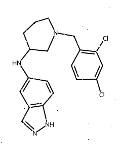 Clc1ccc(CN2CCCC(Nc3ccc4[nH]ncc4c3)C2)c(Cl)c1